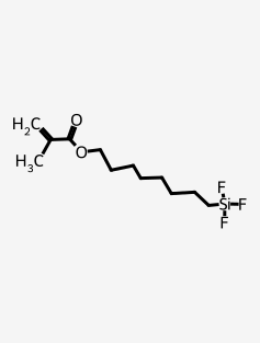 C=C(C)C(=O)OCCCCCCCC[Si](F)(F)F